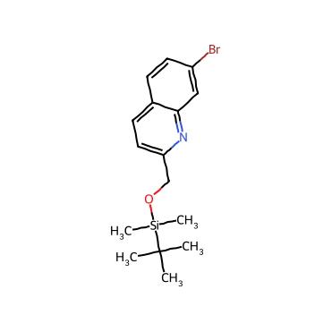 CC(C)(C)[Si](C)(C)OCc1ccc2ccc(Br)cc2n1